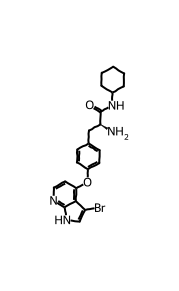 N[C@@H](Cc1ccc(Oc2ccnc3[nH]cc(Br)c23)cc1)C(=O)NC1CCCCC1